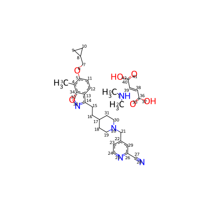 CNC.Cc1c(OCC2CC2)ccc2c(CCC3CCN(Cc4ccnc(C#N)c4)CC3)noc12.O=C(O)C=CC(=O)O